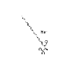 C=C(C(=O)[O-])C(C=O)CCCCCCCCCCCCCCCC.[Na+]